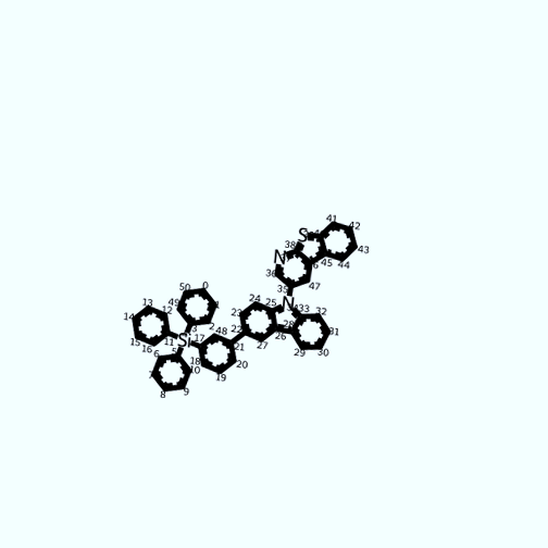 c1ccc([Si](c2ccccc2)(c2ccccc2)c2cccc(-c3ccc4c(c3)c3ccccc3n4-c3cnc4sc5ccccc5c4c3)c2)cc1